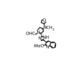 COc1nc2ccccc2cc1-c1cnc([C@@H]2C[C@@H](N(C)C3CCOC3)CCN2CC=O)[nH]1